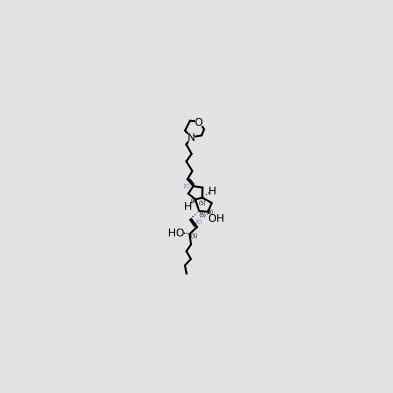 CCCCC[C@H](O)/C=C/[C@@H]1[C@H]2C/C(=C/CCCCN3CCOCC3)C[C@H]2C[C@H]1O